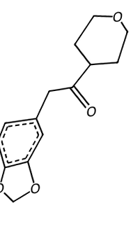 O=C(Cc1ccc2c(c1)OCO2)C1CCOCC1